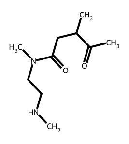 CNCCN(C)C(=O)CC(C)C(C)=O